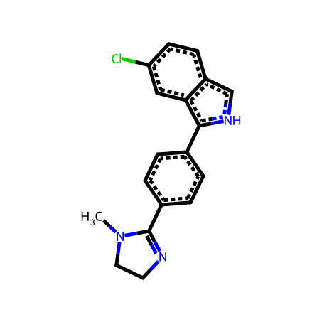 CN1CCN=C1c1ccc(-c2[nH]cc3ccc(Cl)cc23)cc1